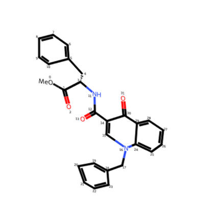 COC(=O)[C@H](Cc1ccccc1)NC(=O)c1cn(Cc2ccccc2)c2ccccc2c1=O